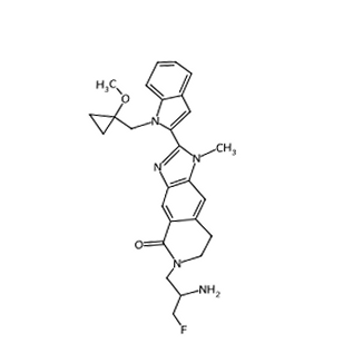 COC1(Cn2c(-c3nc4cc5c(cc4n3C)CCN(CC(N)CF)C5=O)cc3ccccc32)CC1